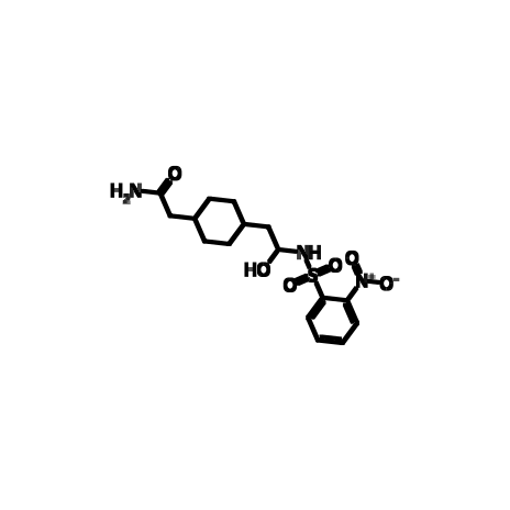 NC(=O)CC1CCC(CC(O)NS(=O)(=O)c2ccccc2[N+](=O)[O-])CC1